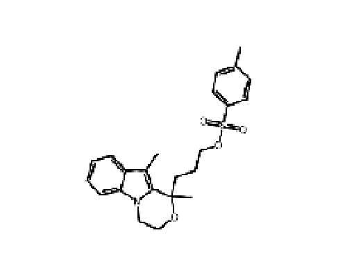 Cc1ccc(S(=O)(=O)OCCCC2(C)OCCn3c2c(C)c2ccccc23)cc1